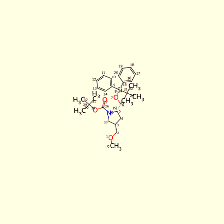 COCC1C[C@@H](CO[Si](c2ccccc2)(c2ccccc2)C(C)(C)C)N(C(=O)OC(C)(C)C)C1